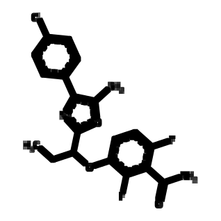 Bc1oc(C(CC)Oc2ccc(F)c(C(N)=O)c2F)nc1-c1ccc(Cl)cc1